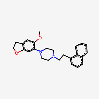 COc1cc2c(cc1N1CCN(CCc3cccc4ccccc34)CC1)OCC2